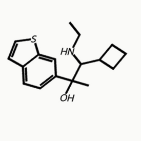 CCNC(C1CCC1)C(C)(O)c1ccc2ccsc2c1